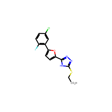 O=C(O)CSc1nnc(-c2ccc(-c3cc(Cl)ccc3F)o2)[nH]1